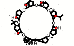 CC(C)C1C2CC3C1OC1(O)CC4CC(OC5(O)CC6CC5C5OC7(O)CC8CC7C(OC7(O)CC9CC7C(OC7(O)CC%10CC(OC%11(O)CC%12CC(OC%13(O)CC%14CC(OC3(O)C2)C%13C%14)C%11C%12)C7C%10)C9C(C)(C)C)C8[C@H](C)[C@@H]65)C1C4